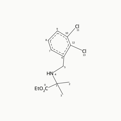 CCOC(=O)C(C)(C)NCc1cccc(Cl)c1Cl